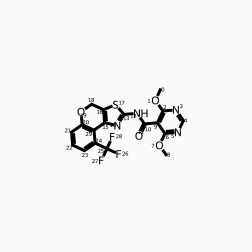 COc1ncnc(OC)c1C(=O)Nc1nc2c(s1)COc1cccc(C(F)(F)F)c1-2